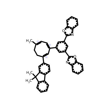 C/C1=C/C=C(c2cc(-c3nc4ccccc4o3)cc(-c3nc4ccccc4o3)c2)\C=C(\c2ccc3c(c2)C(C)(C)c2ccccc2-3)CC1